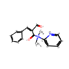 C[N+](C)(C(=O)C([C]=O)=Cc1ccccc1)c1ccccn1